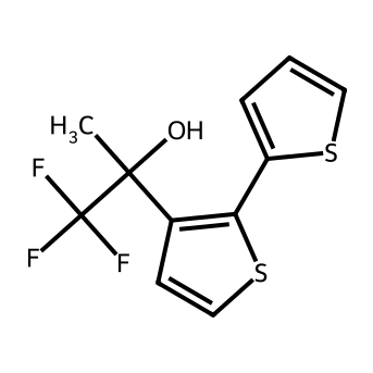 CC(O)(c1ccsc1-c1cccs1)C(F)(F)F